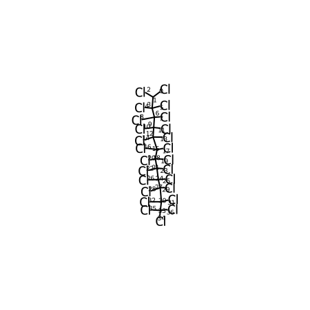 ClC(Cl)C(Cl)(Cl)C(Cl)(Cl)C(Cl)(Cl)C(Cl)(Cl)C(Cl)(Cl)C(Cl)(Cl)C(Cl)(Cl)C(Cl)(Cl)C(Cl)(Cl)C(Cl)(Cl)C(Cl)(Cl)Cl